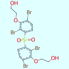 O=S(=O)(c1ccc(Br)c(OCCO)c1Br)c1ccc(Br)c(OCCO)c1Br